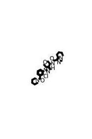 O=C(N[C@@H]1COCc2c1cnn2-c1cccc(C(=O)N2CCCCC2)c1Cl)c1ncn2c1CCCC2